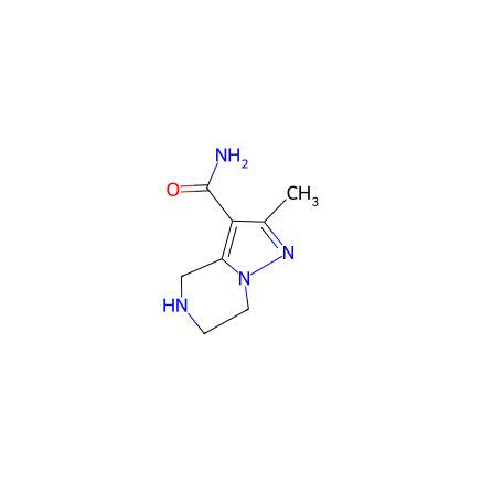 Cc1nn2c(c1C(N)=O)CNCC2